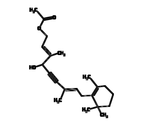 CC(=O)OC/C=C(\C)C(O)C#C/C(C)=C/CC1=C(C)CCCC1(C)C